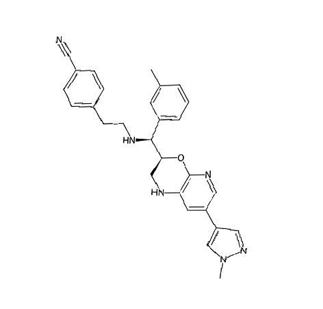 Cc1cccc([C@H](NCCc2ccc(C#N)cc2)[C@@H]2CNc3cc(-c4cnn(C)c4)cnc3O2)c1